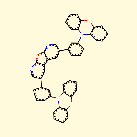 c1cc(-c2cnc3oc4ncc(-c5cccc(N6c7ccccc7Oc7ccccc76)c5)cc4c3c2)cc(N2c3ccccc3Oc3ccccc32)c1